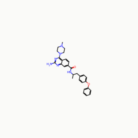 CC(Cc1ccc(Oc2ccccc2)cc1)NC(=O)c1ccc2c(N3CCN(C)CC3)nc(N)nc2c1